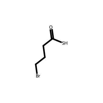 O=C(S)CCCBr